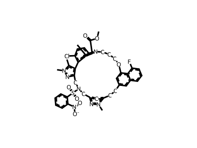 COC(=O)c1c(C)c2c3c(Cl)ccc2n1CCCOc1cc(cc2cccc(F)c12)CCc1cc(nn1C)CN(S(=O)(=O)c1ccccc1[N+](=O)[O-])Cc1nn(C)c(C)c1-3